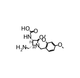 COc1ccc(CN2C(=O)[C@@H](NC(=O)O)[C@H]2CN)c(OC)c1